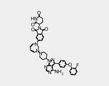 Nc1ncnc2c1c(-c1ccc(Oc3ccccc3F)cc1)nn2C1CCN(N2C=CC=CN(c3ccc4c(c3)C(=O)N(C3CCC(=O)NC3=O)C4=O)C2)CC1